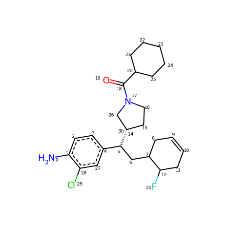 Nc1ccc(C(CC2CC=CCC2F)[C@H]2CCN(C(=O)C3CCCCC3)C2)cc1Cl